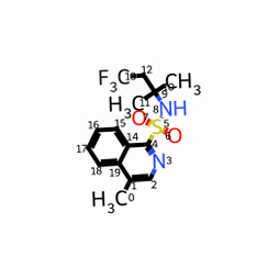 Cc1cnc(S(=O)(=O)NC(C)(C)CC(F)(F)F)c2ccccc12